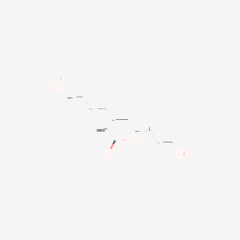 C=CC(=O)O.OCCCCCCCCCCO